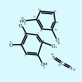 Oc1cc(Cl)c(Cl)cc1Cl.Oc1cccc(Cl)c1.S=C=S